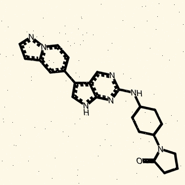 O=C1CCCN1C1CCC(Nc2ncc3c(-c4ccn5nccc5c4)c[nH]c3n2)CC1